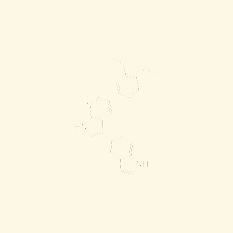 COc1ccc(-c2cnc3[nH]cc(-c4ccc5[nH]ccc5c4)c3c2)cc1OC